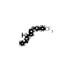 FC(F)(F)c1ccc(N2CCC(Oc3ccc4c(c3)CCC4NC3CCN(Cc4ccncc4)CC3)CC2)cc1